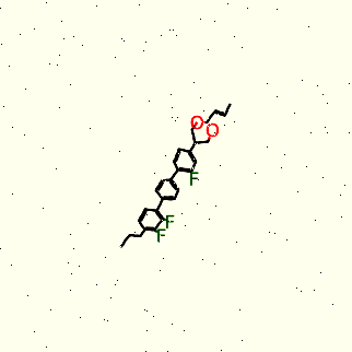 C/C=C/C1OCC(c2ccc(-c3ccc(-c4ccc(CCC)c(F)c4F)cc3)c(F)c2)CO1